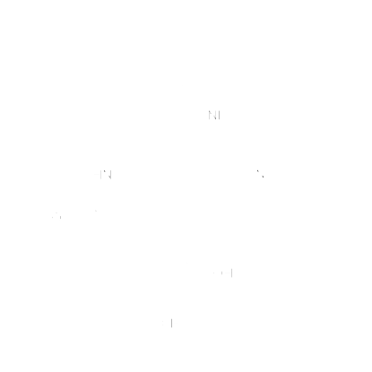 Cc1cc2c(cc1O)[C@@H](c1c(CN3CCCC3)[nH]c3ccccc13)NC2=O